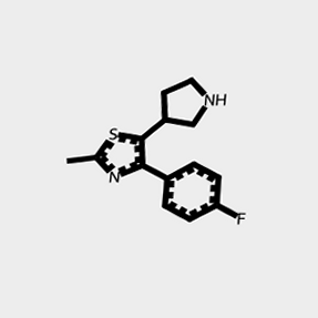 Cc1nc(-c2ccc(F)cc2)c(C2CCNC2)s1